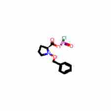 O=C(O[P](=O)Cl)[C@@H]1CCCN1OCc1ccccc1